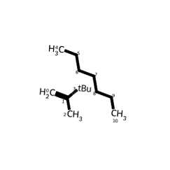 C=C(C)C(C)(C)C.CCCCCCC